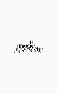 Br.CCCCCCCCCCCCN(C)C.NCC1CO1